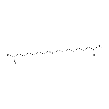 CCC(Br)CCCCCC/C=C/CCCCCCCC(C)Br